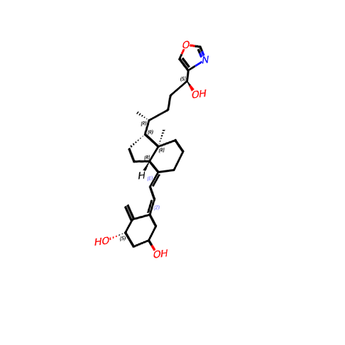 C=C1/C(=C\C=C2/CCC[C@]3(C)[C@@H]([C@H](C)CC[C@H](O)c4cocn4)CC[C@@H]23)CC(O)C[C@@H]1O